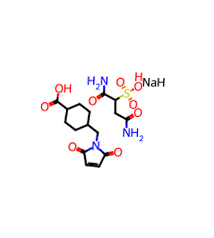 NC(=O)CC(C(N)=O)S(=O)(=O)O.O=C(O)C1CCC(CN2C(=O)C=CC2=O)CC1.[NaH]